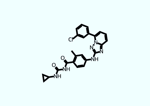 Cc1cc(Nc2nc3cccc(-c4cccc(Cl)c4)n3n2)ccc1C(=O)NC(=O)NC1CC1